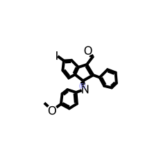 COc1ccc(/N=C2/C(c3ccccc3)=C(C=O)c3cc(I)ccc32)cc1